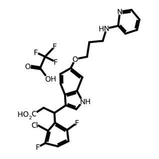 O=C(O)C(F)(F)F.O=C(O)CC(c1c(F)ccc(F)c1Cl)c1c[nH]c2cc(OCCCNc3ccccn3)ccc12